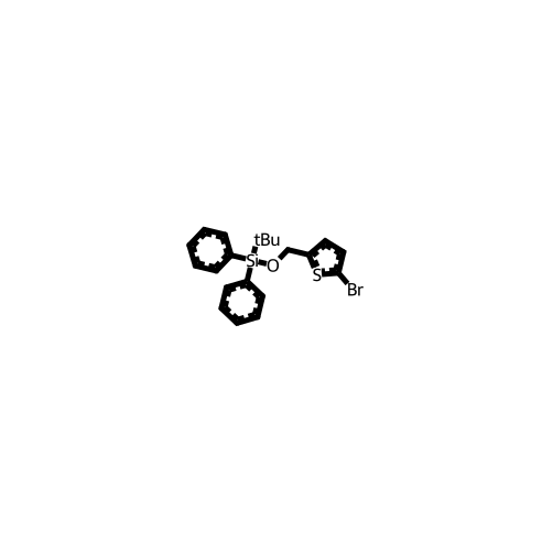 CC(C)(C)[Si](OCc1ccc(Br)s1)(c1ccccc1)c1ccccc1